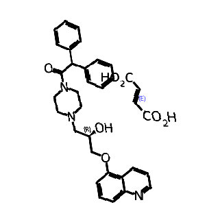 O=C(C(c1ccccc1)c1ccccc1)N1CCN(C[C@@H](O)COc2cccc3ncccc23)CC1.O=C(O)/C=C/C(=O)O